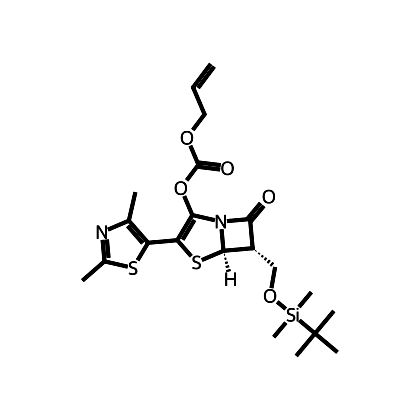 C=CCOC(=O)OC1=C(c2sc(C)nc2C)S[C@@H]2[C@@H](CO[Si](C)(C)C(C)(C)C)C(=O)N12